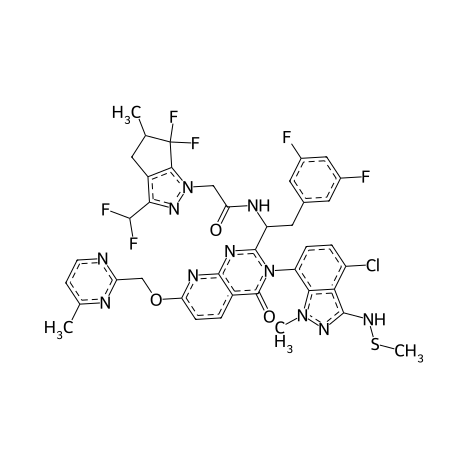 CSNc1nn(C)c2c(-n3c(C(Cc4cc(F)cc(F)c4)NC(=O)Cn4nc(C(F)F)c5c4C(F)(F)C(C)C5)nc4nc(OCc5nccc(C)n5)ccc4c3=O)ccc(Cl)c12